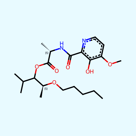 CCCCCO[C@@H](C)C(OC(=O)[C@H](C)NC(=O)c1nccc(OC)c1O)C(C)C